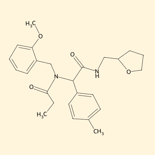 CCC(=O)N(Cc1ccccc1OC)C(C(=O)NCC1CCCO1)c1ccc(C)cc1